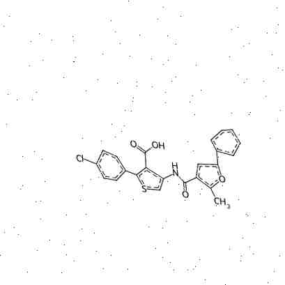 Cc1oc(-c2ccccc2)cc1C(=O)Nc1csc(-c2ccc(Cl)cc2)c1C(=O)O